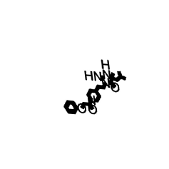 CC(C)CC1(C)NC(=N)N(CCC2CCN(C(=O)COc3ccccc3)CC2)C1=O